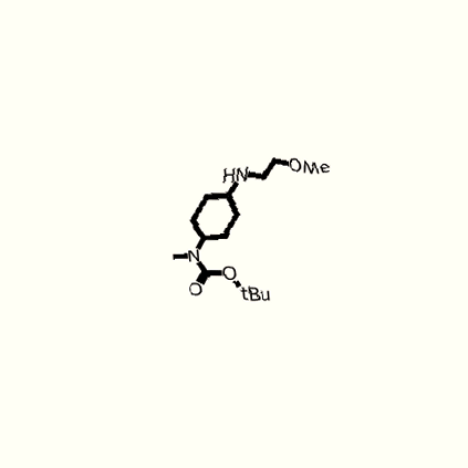 COCCNC1CCC(N(C)C(=O)OC(C)(C)C)CC1